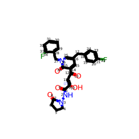 O=C(NN1CCCC1=O)/C(O)=C/C(=O)c1cc(Cc2ccc(F)cc2)cn(Cc2ccccc2F)c1=O